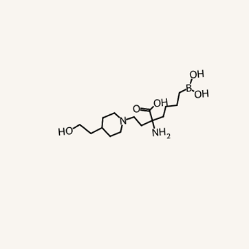 NC(CCCCB(O)O)(CCN1CCC(CCO)CC1)C(=O)O